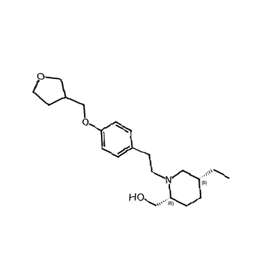 CC[C@@H]1CC[C@H](CO)N(CCc2ccc(OCC3CCOC3)cc2)C1